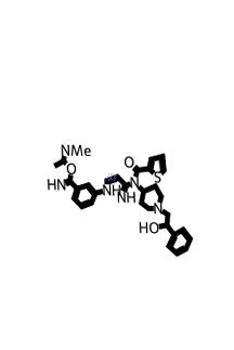 CNC(C)OC(=N)c1cccc(N/C=C\C(=N)N(C(=O)c2cccs2)C2CCN(CC(O)c3ccccc3)CC2)c1